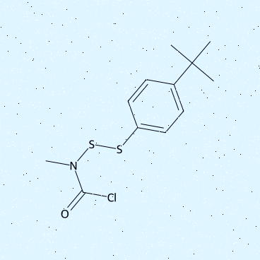 CN(SSc1ccc(C(C)(C)C)cc1)C(=O)Cl